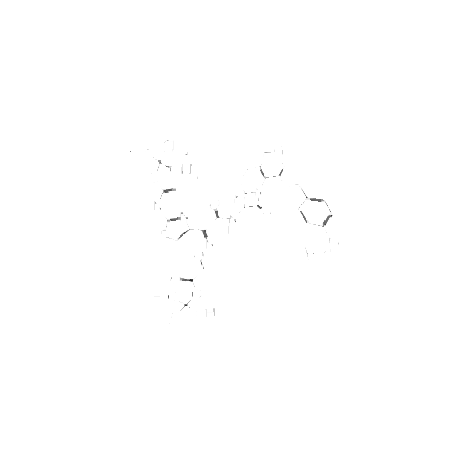 COc1ccc(COC(=O)C2=C(CCl)CS[C@H]3[C@H](NC(=O)C(=NOCC(=O)OC(C)(C)C)c4csc(NC(=O)OC(C)(C)C)n4)C(=O)N23)cc1